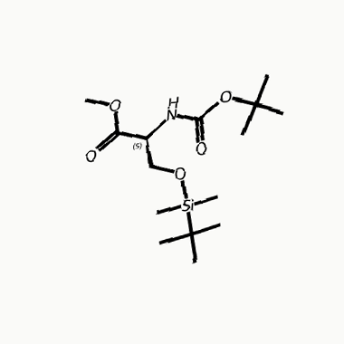 COC(=O)[C@H](CO[Si](C)(C)C(C)(C)C)NC(=O)OC(C)(C)C